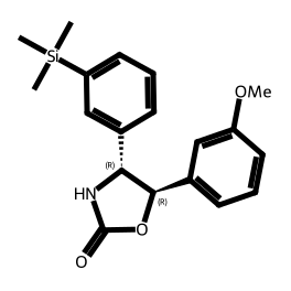 COc1cccc([C@H]2OC(=O)N[C@@H]2c2cccc([Si](C)(C)C)c2)c1